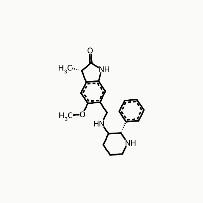 COc1cc2c(cc1CNC1CCCN[C@H]1c1ccccc1)NC(=O)[C@H]2C